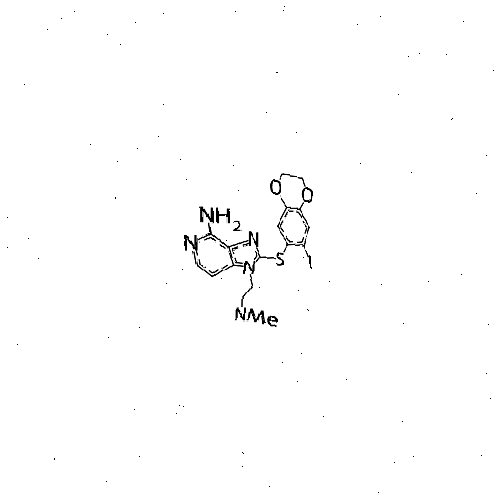 CNCCn1c(Sc2cc3c(cc2I)OCCO3)nc2c(N)nccc21